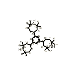 CC1(C)CCC(c2cc(C3CCC(C)(C)NC(C)(C)C3)cc(C3CCC(C)(C)NC(C)(C)C3)c2)CC(C)(C)N1